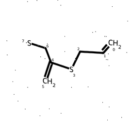 C=CCSC(=C)C[S]